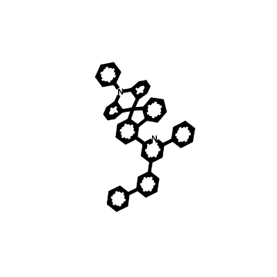 c1ccc(-c2cccc(-c3cc(-c4ccccc4)nc(-c4cccc5c4-c4ccccc4C54c5ccccc5N(c5ccccc5)c5ccccc54)c3)c2)cc1